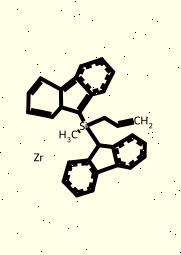 C=CC[Si](C)(C1=c2ccccc2=C2C=CC=CC21)C1c2ccccc2-c2ccccc21.[Zr]